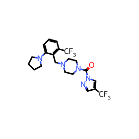 O=C(N1CCN(Cc2c(N3CCCC3)cccc2C(F)(F)F)CC1)n1cc(C(F)(F)F)cn1